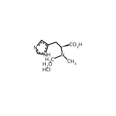 CN(C)[C@@H](Cc1cnc[nH]1)C(=O)O.Cl.O